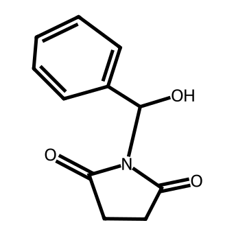 O=C1CCC(=O)N1C(O)c1ccccc1